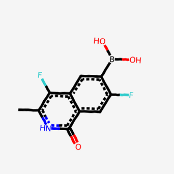 Cc1[nH]c(=O)c2cc(F)c(B(O)O)cc2c1F